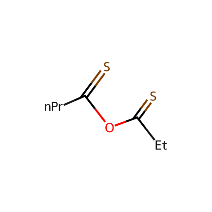 CCCC(=S)OC(=S)CC